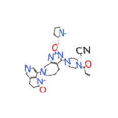 C=CC(=O)N1CCN(c2nc(OC[C@@H]3CCCN3C)nc3c2CCCN(c2cncc4c2N(C)C(=O)CC4)C3)C[C@@H]1CC#N